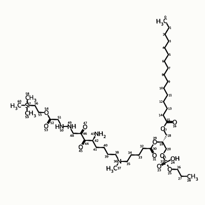 CCCCCCCCCCCCCCCC(=O)OC[C@H](COP(=O)(O)OCCC)OC(=O)CCCCN(C)CCCC[C@H](N)C(=O)C(=O)CNNCC(=O)OCC[Si](C)(C)C